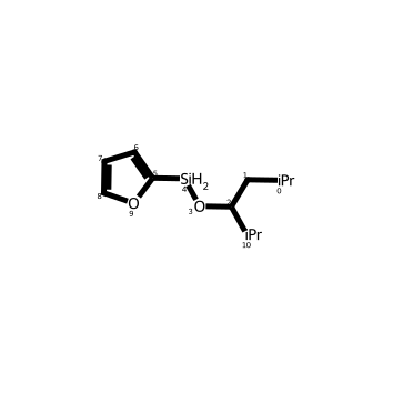 CC(C)CC(O[SiH2]c1ccco1)C(C)C